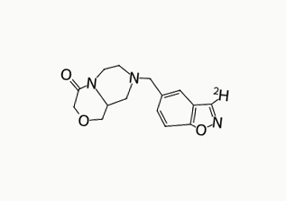 [2H]c1noc2ccc(CN3CCN4C(=O)COCC4C3)cc12